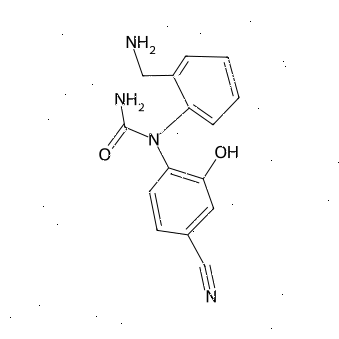 N#Cc1ccc(N(C(N)=O)c2ccccc2CN)c(O)c1